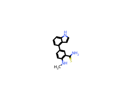 CNc1ccc(-c2cccc3[nH]ccc23)cc1C(N)=S